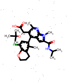 Cc1nc2c(cc(C(=O)NC(C)C)n2C)c(-c2cc(F)c3c(c2C)CCCO3)c1[C@H](OC(C)(C)C)C(=O)O